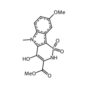 COC(=O)C1=C(O)c2c(c3cc(OC)ccc3n2C)S(=O)(=O)N1